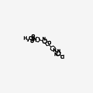 CS(=O)(=O)N1CC=C(c2cc3c(cn2)OC(C2CCN(c4ncc(Cl)cn4)CC2)C3)CC1